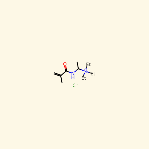 C=C(C)C(=O)NC(C)[N+](CC)(CC)CC.[Cl-]